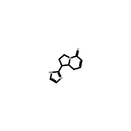 O=C1C=CCC2C(c3ncc[nH]3)CCN12